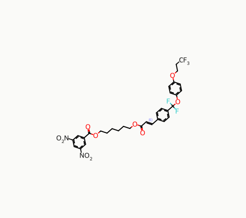 O=C(/C=C/c1ccc(C(F)(F)Oc2ccc(OCCC(F)(F)F)cc2)cc1)OCCCCCCOC(=O)c1cc([N+](=O)[O-])cc([N+](=O)[O-])c1